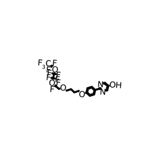 Oc1cnc(-c2ccc(OCCCCOCC(F)(F)OC(F)(F)C(F)(F)OC(F)(F)C(F)(F)F)cc2)nc1